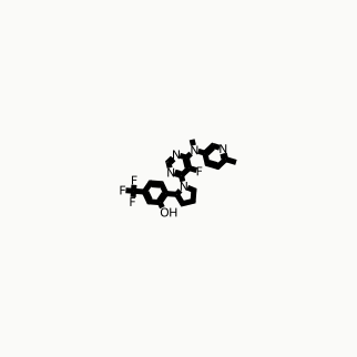 Cc1ccc(N(C)c2ncnc(N3CCCC3c3ccc(C(F)(F)F)cc3O)c2F)cn1